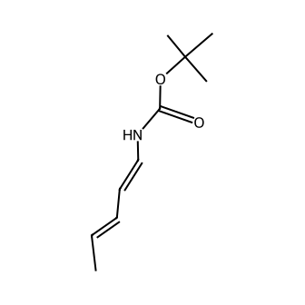 CC=C/C=C/NC(=O)OC(C)(C)C